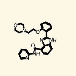 O=C(Nc1ccccn1)c1cccc2[nH]c(-c3ccccc3OCCN3CCOCC3)nc12